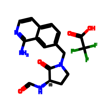 Nc1nccc2ccc(CN3CC[C@@H](NC=O)C3=O)cc12.O=C(O)C(F)(F)F